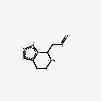 O=CCC1NCCc2cnnn21